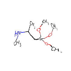 CNC(C)C[Si](OC)(OC)OC